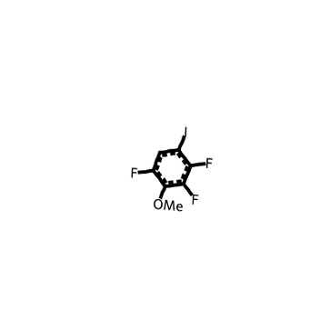 COc1c(F)cc(I)c(F)c1F